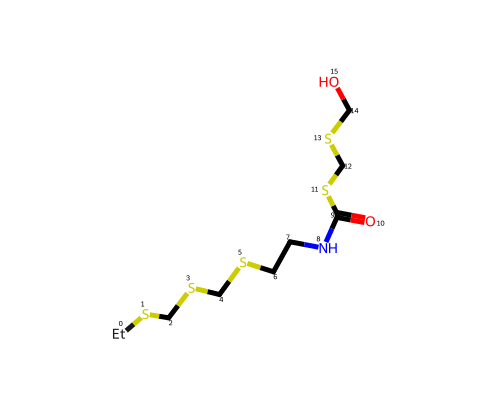 CCSCSCSCCNC(=O)SCSCO